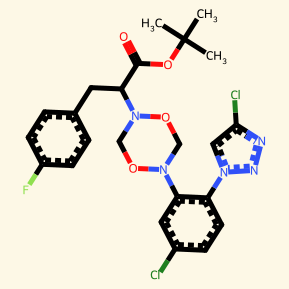 CC(C)(C)OC(=O)C(Cc1ccc(F)cc1)N1CON(c2cc(Cl)ccc2-n2cc(Cl)nn2)CO1